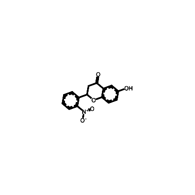 O=C1CC(c2ccccc2[N+](=O)[O-])Oc2ccc(O)cc21